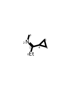 CC/C(=N/C)C1CC1